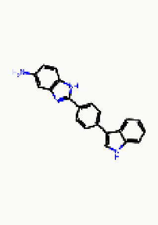 Nc1ccc2[nH]c(-c3ccc(-c4c[nH]c5ccccc45)cc3)nc2c1